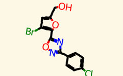 OCc1cc(Br)c(-c2nc(-c3ccc(Cl)cc3)no2)o1